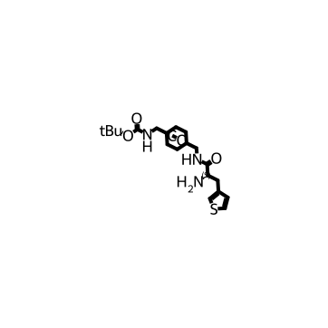 CC(C)(C)OC(=O)NCC12CCC(CNC(=O)[C@@H](N)Cc3ccsc3)(CC1)CC2